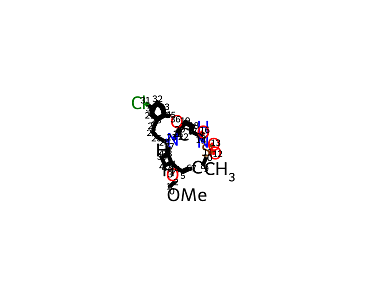 COCCO[C@H]1/C=C/C[C@H](C)CS(=O)(=O)NC(=O)c2ccc3c(c2)N(CCCCc2cc(Cl)ccc2CO3)C[C@@H]2CC[C@@H]21